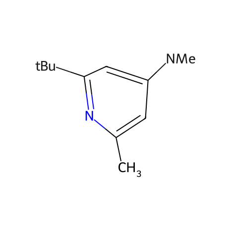 CNc1cc(C)nc(C(C)(C)C)c1